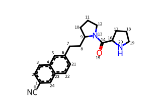 N#Cc1ccc2cc(CCC3CCCN3C(=O)C3CCCN3)ccc2c1